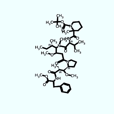 CC[C@H](C)C(C(CC(=O)N1CCC[C@H]1C(OC)[C@@H](C)C(=O)NC(Cc1ccccc1)C(=O)OC)OC)N(C)C(=O)[C@@H](NC(=O)C1(C)CCCCN1C(=O)OC(C)(C)C)C(C)C